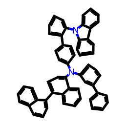 c1ccc(-c2cccc(N(c3ccc(-c4ccccc4-n4c5ccccc5c5ccccc54)cc3)c3ccc(-c4cccc5ccccc45)c4ccccc34)c2)cc1